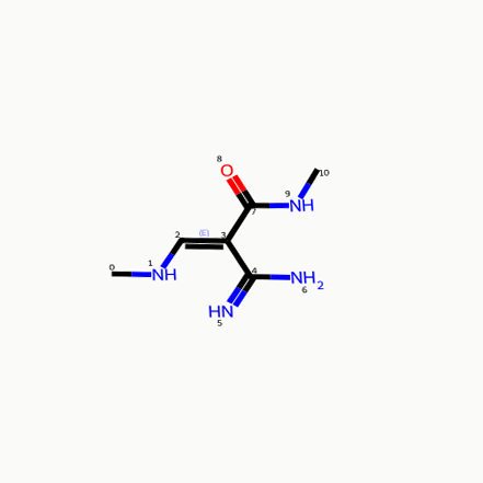 CN/C=C(\C(=N)N)C(=O)NC